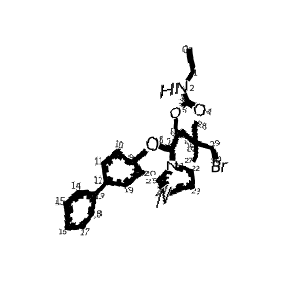 CCNC(=O)OC(C(Oc1ccc(-c2ccccc2)cc1)n1ccnc1)C(C)(C)CBr